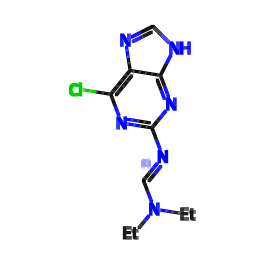 CCN(/C=N/c1nc(Cl)c2nc[nH]c2n1)CC